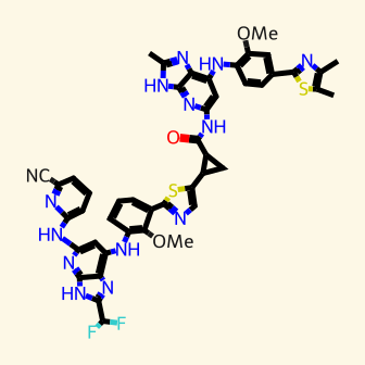 COc1cc(-c2nc(C)c(C)s2)ccc1Nc1cc(NC(=O)C2CC2c2cnc(-c3cccc(Nc4cc(Nc5cccc(C#N)n5)nc5[nH]c(C(F)F)nc45)c3OC)s2)nc2[nH]c(C)nc12